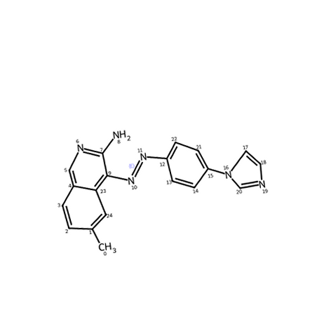 Cc1ccc2cnc(N)c(/N=N/c3ccc(-n4ccnc4)cc3)c2c1